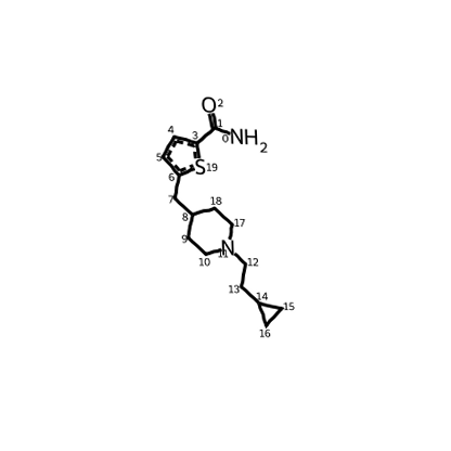 NC(=O)c1ccc(CC2CCN(CCC3CC3)CC2)s1